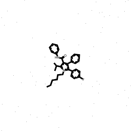 CCCCCCn1c(-c2ccc(F)cc2)c(-c2ccccc2)c(C(=O)Nc2ccccc2)c1C(C)C